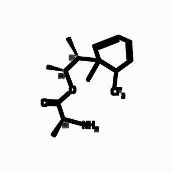 C[C@H](N)C(=O)O[C@H](C)[C@H](C)C1(C)C=CC=CC1C(F)(F)F